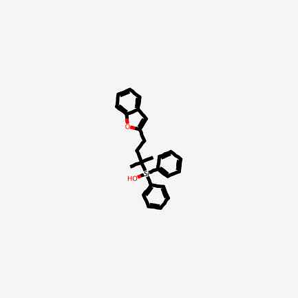 CC(C)(CCc1cc2ccccc2o1)[Si](O)(c1ccccc1)c1ccccc1